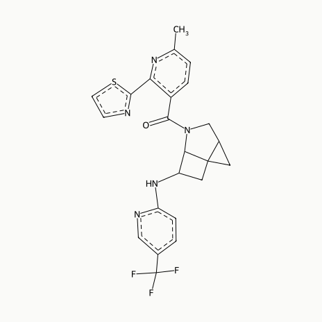 Cc1ccc(C(=O)N2CC3CC34CC(Nc3ccc(C(F)(F)F)cn3)C24)c(-c2nccs2)n1